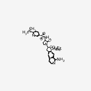 CCOC(=O)C(Cc1cc2ccnc(N)c2cc1OC)N1CCC(NS(=O)(=O)c2ccc(N(C)C)nc2)C1=O